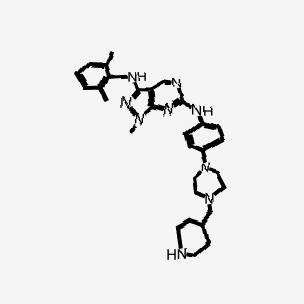 Cc1cccc(C)c1Nc1nn(C)c2nc(Nc3ccc(N4CCN(CC5CCNCC5)CC4)cc3)ncc12